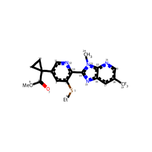 CCSc1cc(C2(C(=O)OC)CC2)cnc1-c1nc2cc(C(F)(F)F)cnc2n1C